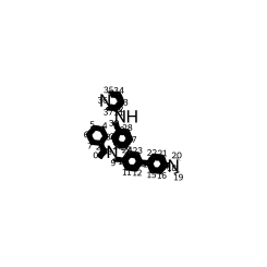 C=C(C1CCCCC1)N(Cc1ccc(-c2ccc(N(C)C)cc2)cc1)c1cccc(CNc2cccnc2)c1